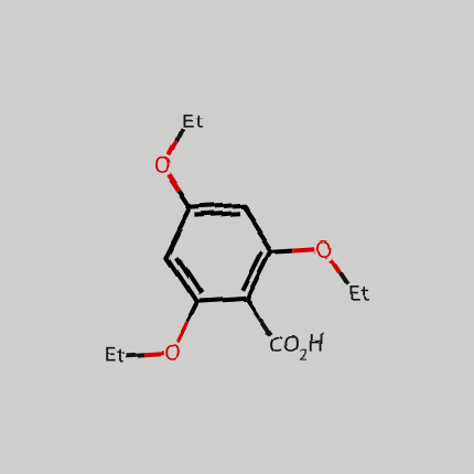 CCOc1cc(OCC)c(C(=O)O)c(OCC)c1